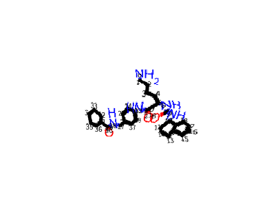 NCCCCC(NC(=O)Nc1cccc2ccccc12)C(=O)Nc1ccc(CNC(=O)C2CCCCC2)cc1